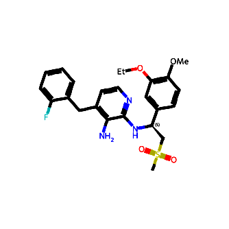 CCOc1cc([C@@H](CS(C)(=O)=O)Nc2nccc(Cc3ccccc3F)c2N)ccc1OC